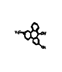 CN1CCN2c3ccc(O)cc3C(O)c3ccccc3C2C1